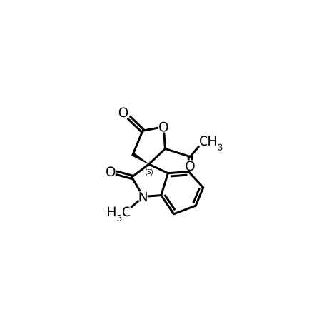 CC(=O)C1OC(=O)C[C@@]12C(=O)N(C)c1ccccc12